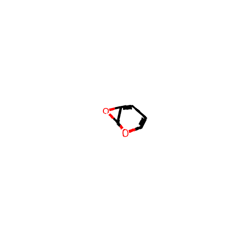 C1=COC2OC2=C1